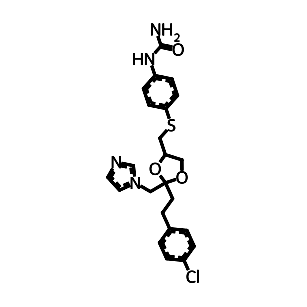 NC(=O)Nc1ccc(SCC2COC(CCc3ccc(Cl)cc3)(Cn3ccnc3)O2)cc1